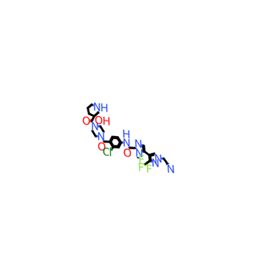 Cn1c(-c2cn(CC#N)nc2C(F)(F)F)cnc1C(=O)Nc1ccc(C(=O)N2CCN(C(=O)[C@]3(O)CCCNC3)CC2)c(Cl)c1